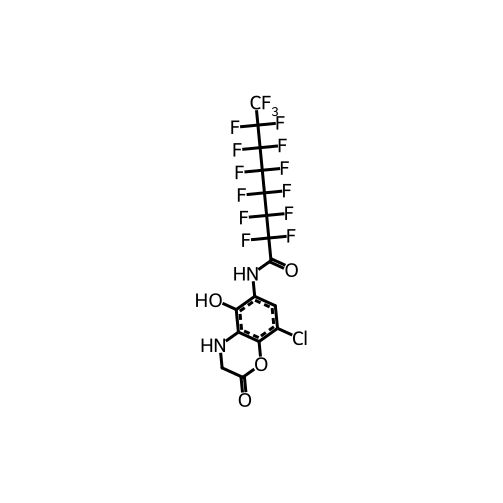 O=C1CNc2c(O)c(NC(=O)C(F)(F)C(F)(F)C(F)(F)C(F)(F)C(F)(F)C(F)(F)C(F)(F)F)cc(Cl)c2O1